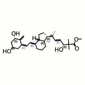 C=C1/C(=C\C=C2/CCC[C@]3(C)[C@@H]([C@H](C)/C=C/[C@@H](O)C(C)(C)C(=O)OC)CC[C@@H]23)C[C@@H](O)C[C@@H]1O